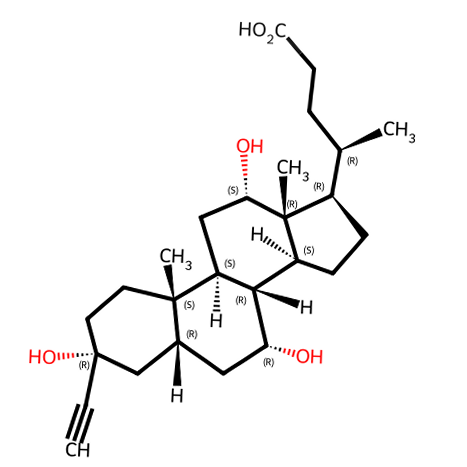 C#C[C@@]1(O)CC[C@@]2(C)[C@H](C[C@@H](O)[C@@H]3[C@@H]2C[C@H](O)[C@]2(C)[C@@H]([C@H](C)CCC(=O)O)CC[C@@H]32)C1